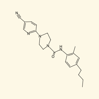 CCCCc1ccc(NC(=O)N2CCN(c3ccc(C#N)cn3)CC2)c(C)c1